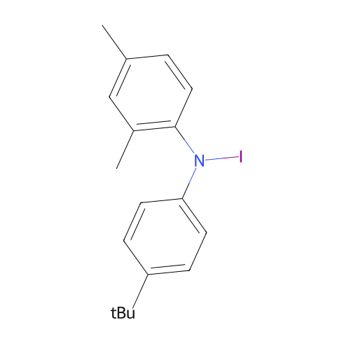 Cc1ccc(N(I)c2ccc(C(C)(C)C)cc2)c(C)c1